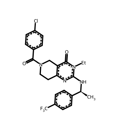 CCn1c(N[C@@H](C)c2ccc(C(F)(F)F)cc2)nc2c(c1=O)CN(C(=O)c1ccc(Cl)cc1)CC2